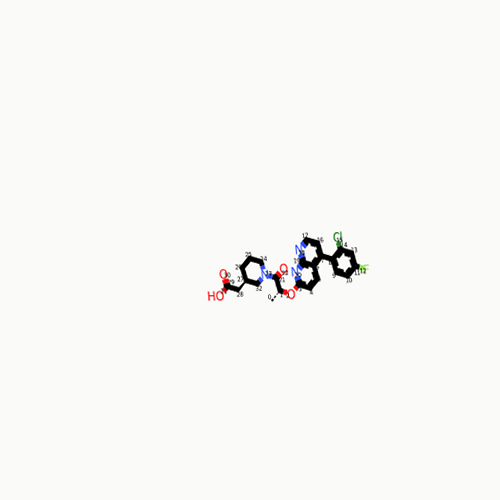 C[C@@H](Oc1ccc2c(-c3ccc(F)cc3Cl)ccnc2n1)C(=O)N1CCC[C@H](CC(=O)O)C1